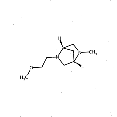 COCCN1C[C@@H]2C[C@H]1CN2C